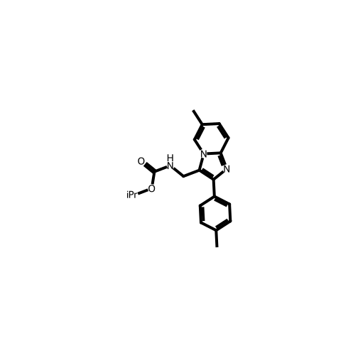 Cc1ccc(-c2nc3ccc(C)cn3c2CNC(=O)OC(C)C)cc1